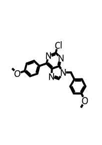 COc1ccc(Cn2cnc3c(-c4ccc(OC)cc4)nc(Cl)nc32)cc1